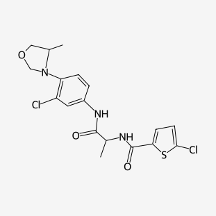 CC(NC(=O)c1ccc(Cl)s1)C(=O)Nc1ccc(N2COCC2C)c(Cl)c1